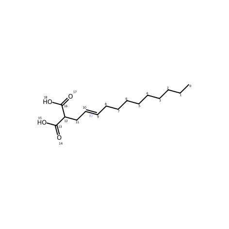 CCCCCCCCC/C=C/CC(C(=O)O)C(=O)O